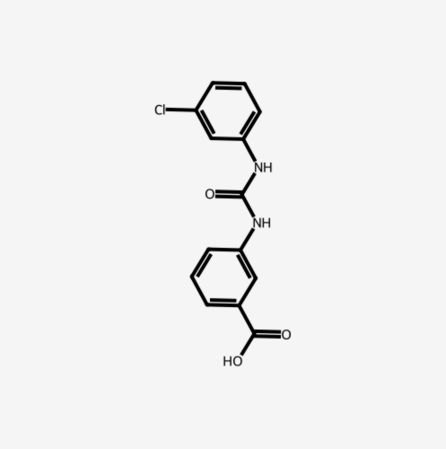 O=C(Nc1cccc(Cl)c1)Nc1cccc(C(=O)O)c1